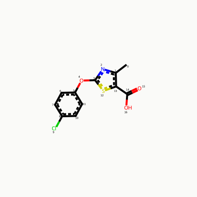 Cc1nc(Oc2ccc(Cl)cc2)sc1C(=O)O